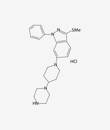 CSc1nn(-c2ccccc2)c2cc(N3CCC(N4CCNCC4)CC3)ccc12.Cl